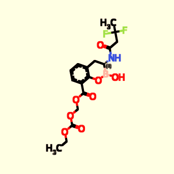 CCOC(=O)OCOC(=O)c1cccc2c1OB(O)[C@@H](NC(=O)CC(C)(F)F)C2